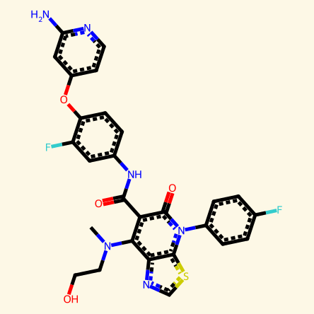 CN(CCO)c1c(C(=O)Nc2ccc(Oc3ccnc(N)c3)c(F)c2)c(=O)n(-c2ccc(F)cc2)c2scnc12